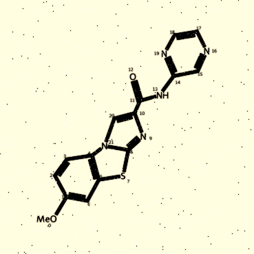 COc1ccc2c(c1)sc1nc(C(=O)Nc3cnccn3)cn12